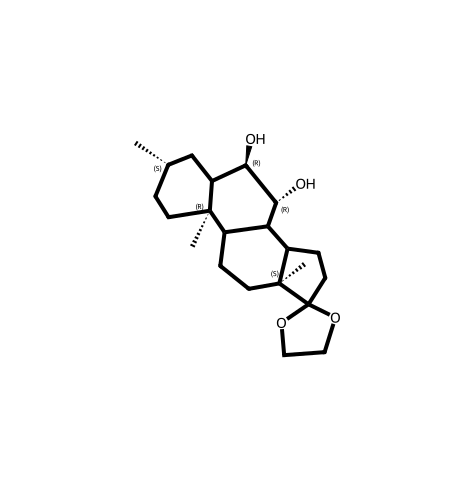 C[C@H]1CC[C@]2(C)C3CC[C@@]4(C)C(CCC45OCCO5)C3[C@@H](O)[C@H](O)C2C1